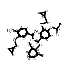 Nc1ccc(C(=O)O[C@@H](Cc2c(Cl)cncc2Cl)c2ccc(OC(F)F)c(OCC3CC3)c2)cc1OCC1CC1